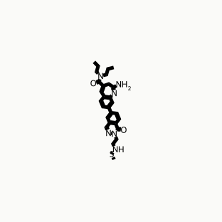 CCCN(CCC)C(=O)C1=Cc2ccc(-c3ccc4c(=O)n(CCNSC)ncc4c3)cc2N=C(N)C1